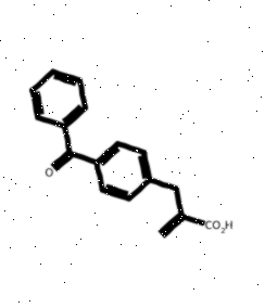 C=C(Cc1ccc(C(=O)c2ccccc2)cc1)C(=O)O